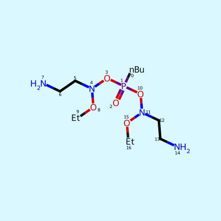 CCCCP(=O)(ON(CCN)OCC)ON(CCN)OCC